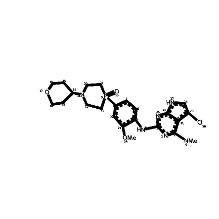 CNc1nc(Nc2ccc(P3(=O)CCN(C4CCOCC4)CC3)cc2OC)nc2[nH]cc(Cl)c12